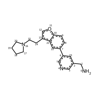 NCc1cncc(-c2ccc3occ(CCN4CCCC4)c3c2)c1